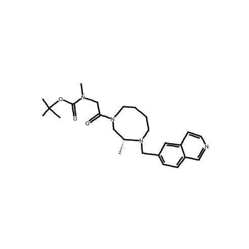 C[C@@H]1CN(C(=O)CN(C)C(=O)OC(C)(C)C)CCCCN1Cc1ccc2cnccc2c1